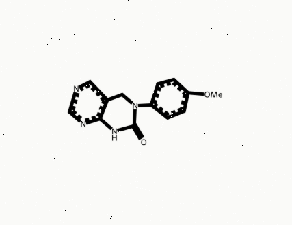 COc1ccc(N2Cc3cncnc3NC2=O)cc1